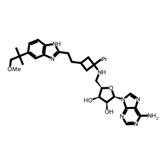 COCC(C)(C)c1ccc2[nH]c(CCC3CC(NC[C@H]4O[C@@H](n5cnc6c(N)ncnc65)[C@@H](O)[C@H]4O)(C(C)C)C3)nc2c1